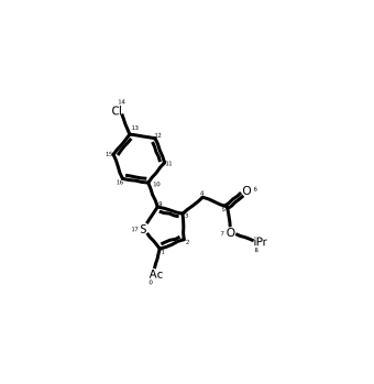 CC(=O)c1cc(CC(=O)OC(C)C)c(-c2ccc(Cl)cc2)s1